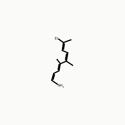 CC/C(C)=C/C=C(C)\C(C)=C\C=C/N